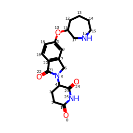 O=C1CCC(N2Cc3cc(OC4CCCCNC4)ccc3C2=O)C(=O)N1